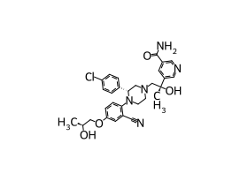 C[C@H](O)COc1ccc(N2CCN(C[C@@](C)(O)c3cncc(C(N)=O)c3)C[C@H]2c2ccc(Cl)cc2)c(C#N)c1